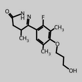 Cc1cc(C2=NNC(=O)CC2C)c(F)c(C)c1OCCCO